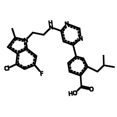 Cc1cc2c(Cl)cc(F)cc2n1CCNc1cc(-c2ccc(C(=O)O)c(CC(C)C)c2)ncn1